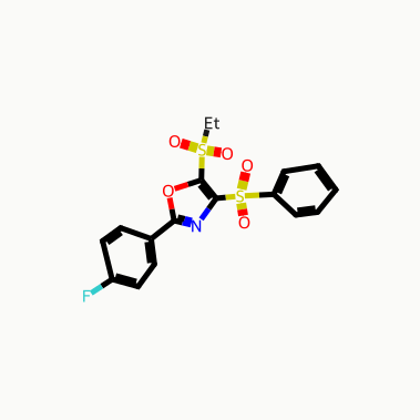 CCS(=O)(=O)c1oc(-c2ccc(F)cc2)nc1S(=O)(=O)c1ccccc1